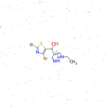 CCN/C=C(\C=N)C(O)c1sc(Br)nc1Br